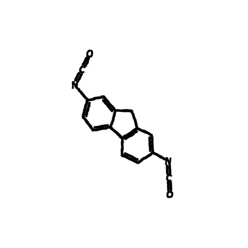 O=C=Nc1ccc2c(c1)Cc1cc(N=C=O)ccc1-2